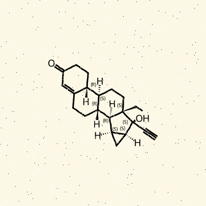 C#C[C@]1(O)[C@H]2C[C@H]2[C@H]2[C@@H]3CCC4=CC(=O)CC[C@@H]4[C@H]3CC[C@@]21CC